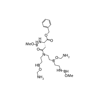 COBNCCB(CCN(CCBOCN)C(=O)C[C@H](NBOC)C(=O)OCc1ccccc1)OCN